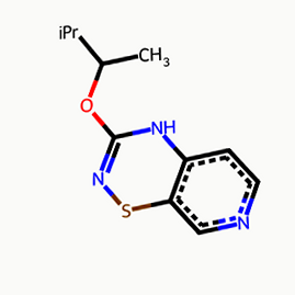 CC(C)C(C)OC1=NSc2cnccc2N1